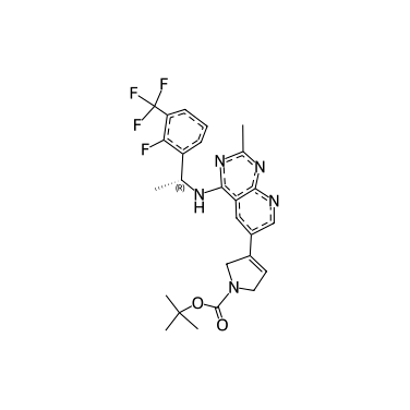 Cc1nc(N[C@H](C)c2cccc(C(F)(F)F)c2F)c2cc(C3=CCN(C(=O)OC(C)(C)C)C3)cnc2n1